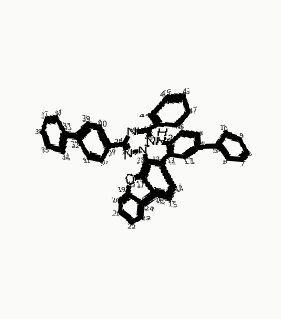 Nc1ccc(-c2ccccc2)cc1-c1ccc2c(oc3ccccc32)c1N1N=C(c2ccc(-c3ccccc3)cc2)N=C(c2ccccc2)N1